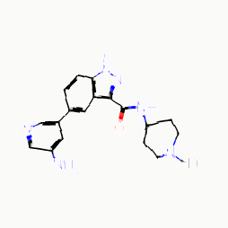 CC(C)N1CCC(NC(=O)c2n[nH]c3ccc(-c4cncc(N)c4)cc23)CC1